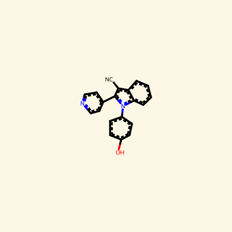 N#Cc1c(-c2ccncc2)n(-c2ccc(O)cc2)c2ccccc12